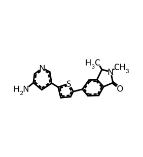 CC1c2cc(-c3ccc(-c4cncc(N)c4)s3)ccc2C(=O)N1C